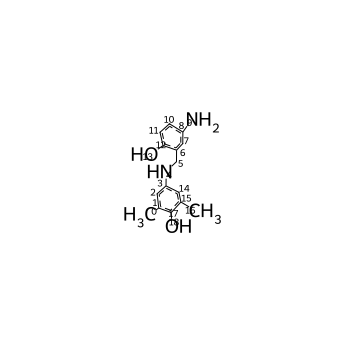 Cc1cc(NCc2cc(N)ccc2O)cc(C)c1O